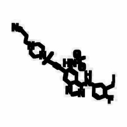 CC(C)(C#Cc1cc2ncnc(Nc3ccc(F)c(CI)c3)c2cc1NS(C)(=O)=O)N1CCN(CCC#N)CC1